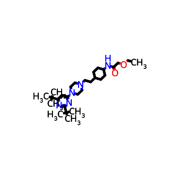 CCOCC(=O)NC1CCC(CCN2CCN(c3cc(C(C)(C)C)nc(C(C)(C)C)n3)CC2)CC1